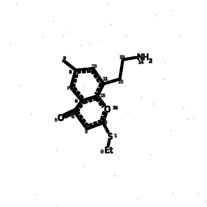 CCSc1cc(=O)c2cc(C)cc(CCN)c2o1